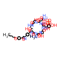 CCCCCOc1ccc(-c2cc(-c3ccc(C(=O)N[C@H]4C[C@@H](O)CNC(=O)C5CCCN5C(=O)C(C(O)CC(N)=O)NC(=O)C([C@H](O)[C@@H](O)c5ccc(O)c(OS(=O)(=O)O)c5)NC(=O)C5CCCN5C(=O)C(C(C)O)NC4=O)cc3)no2)cc1